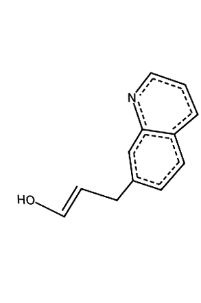 O/C=C/Cc1ccc2cccnc2c1